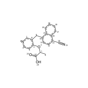 CC(Oc1ccncc1Cc1ccc(C#N)c2ccccc12)C(=O)O